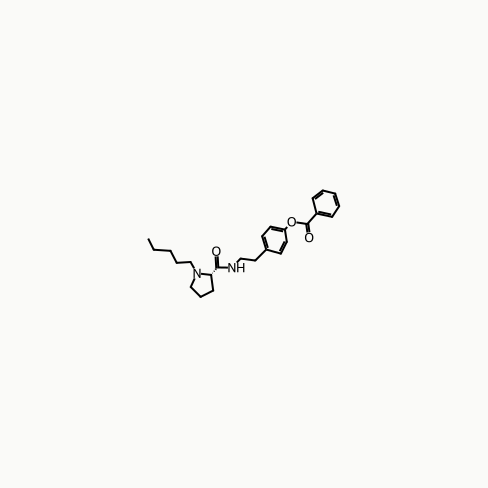 CCCCCN1CCC[C@H]1C(=O)NCCc1ccc(OC(=O)c2ccccc2)cc1